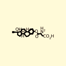 C#C[C@]1(O)CC[C@H]2[C@@H]3CCc4cc(OC(=O)[C@@H](N)CC(=O)O)ccc4[C@H]3CC[C@@]21C